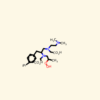 CC(CN(CC(=O)O)C(Cc1ccc(C(C)C)cc1)CN(CCN(C)C)CC(=O)O)OO